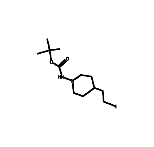 CC(C)(C)OC(=O)NN1CCC(CCI)CC1